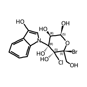 OC[C@@]1(Br)O[C@H](O)[C@H](O)[C@](O)(n2cc(O)c3ccccc32)[C@]1(O)Cl